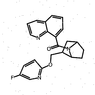 O=C(c1cccc2cccnc12)N1C2CCC1C(COc1ccc(F)cn1)C2